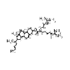 CC(C)CCCC(C)C1CC2C3CC=C4CC(OC(=O)N(CCCCNC(N)N)CCCNC(N)N)CCC4(C)C3CCC2(C)C1